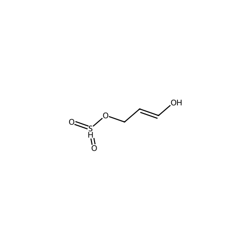 O=[SH](=O)OCC=CO